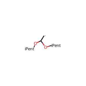 [CH2]C(OC(C)CCC)OC(C)CCC